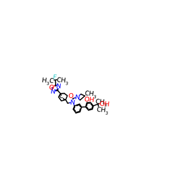 CC1(O)CN(C(=O)N(CC23CCC(c4noc(C(C)(C)F)n4)(CC2)CC3)c2cccc(-c3ccc(C(C)(C)O)cc3)c2)C1